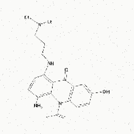 C=C(C)n1c2ccc(O)cc2c(=O)c2c(NCCCN(CC)CC)ccc(N)c21